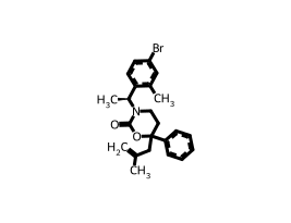 C=C(C)CC1(c2ccccc2)CCN([C@@H](C)c2ccc(Br)cc2C)C(=O)O1